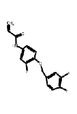 C=CC(=O)Nc1ccc(OCc2ccc(F)c(F)c2)c(F)c1